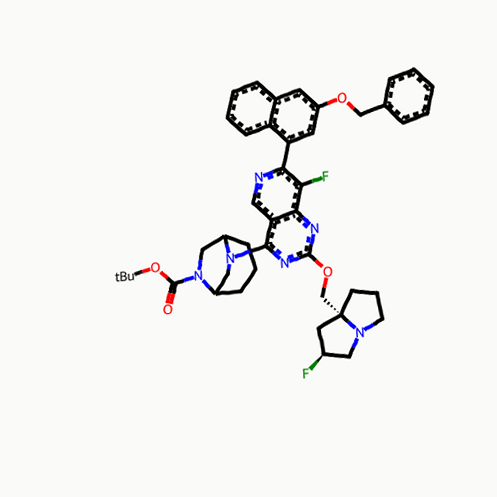 CC(C)(C)OC(=O)N1CC2CCCC1CN2c1nc(OC[C@]23CCCN2C[C@@H](F)C3)nc2c(F)c(-c3cc(OCc4ccccc4)cc4ccccc34)ncc12